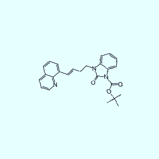 CC(C)(C)OC(=O)n1c(=O)n(CCC=Cc2cccc3cccnc23)c2ccccc21